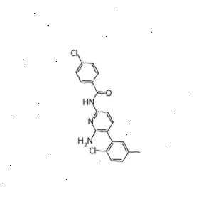 Cc1ccc(Cl)c(-c2ccc(NC(=O)c3ccc(Cl)cc3)nc2N)c1